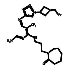 CC(C)CN1CC(n2cc(\N=C/C(=C(\N=C\N)NCCCN3CCCCCC3=O)C(F)(F)F)cn2)C1